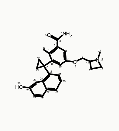 Cc1c(C(N)=O)cc(OCC2CCN2C)cc1C1(c2cccc3ccc(O)cc23)CC1